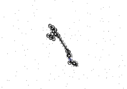 O=C1CC(C2CC3C(=O)OC(=O)C3c3cc(OCCCCCCCCCCOOc4ccc(/C=C/C(=O)c5ccc(F)cc5)cc4)ccc32)C(=O)O1